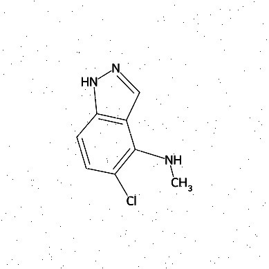 CNc1c(Cl)ccc2[nH]ncc12